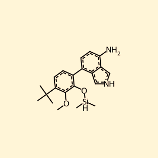 COc1c(C(C)(C)C)ccc(-c2ccc(N)c3c[nH]cc23)c1O[SiH](C)C